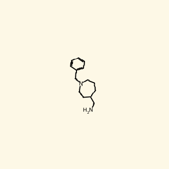 NCC1CCCN(Cc2ccccc2)CC1